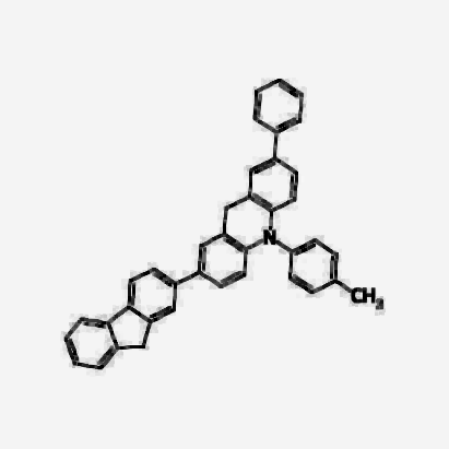 Cc1ccc(N2c3ccc(-c4ccccc4)cc3Cc3cc(-c4ccc5c(c4)Cc4ccccc4-5)ccc32)cc1